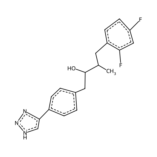 CC(Cc1ccc(F)cc1F)C(O)Cc1ccc(-c2c[nH]nn2)cc1